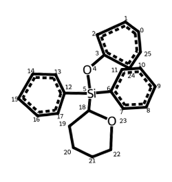 c1ccc(O[Si](c2ccccc2)(c2ccccc2)C2CCCCO2)cc1